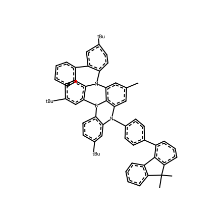 Cc1cc2c3c(c1)N(c1ccc(C(C)(C)C)cc1-c1ccccc1)c1ccc(C(C)(C)C)cc1B3c1ccc(C(C)(C)C)cc1N2c1ccc(-c2cccc3c2-c2ccccc2C3(C)C)cc1